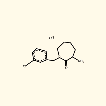 Cl.NC1CCCCN(Cc2cccc(Cl)c2)C1=O